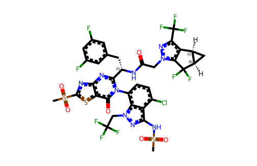 CS(=O)(=O)Nc1nn(CC(F)(F)F)c2c(-n3c([C@H](Cc4cc(F)cc(F)c4)NC(=O)Cn4nc(C(F)(F)F)c5c4C(F)(F)[C@@H]4C[C@H]54)nc4nc(S(C)(=O)=O)sc4c3=O)ccc(Cl)c12